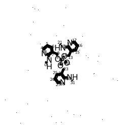 CNc1ncccc1COP(=O)(OCc1cccnc1NC)OCc1cccnc1NC